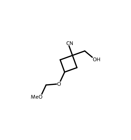 COCOC1CC(C#N)(CO)C1